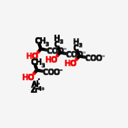 CC(O)C(=O)[O-].CC(O)C(=O)[O-].CC(O)C(=O)[O-].CC(O)C(=O)[O-].[Al].[Zr+4]